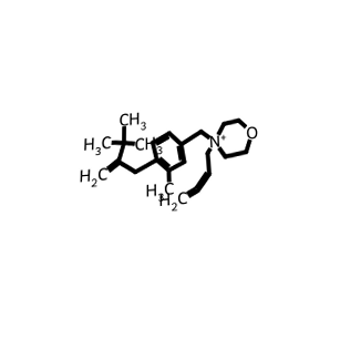 C=C=CC[N+]1(Cc2ccc(CC(=C)C(C)(C)C)c(C)c2)CCOCC1